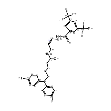 O=C(CCCCC(c1ccc(F)cc1)c1ccc(F)cc1)NC/C=C\CNC(=O)c1cc(C(F)(F)F)cc(C(F)(F)F)c1